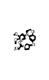 COCC(=O)N1CCC(Oc2ccc3c(c2)N(c2cnc(OC)c(OC)c2)CCO3)C1